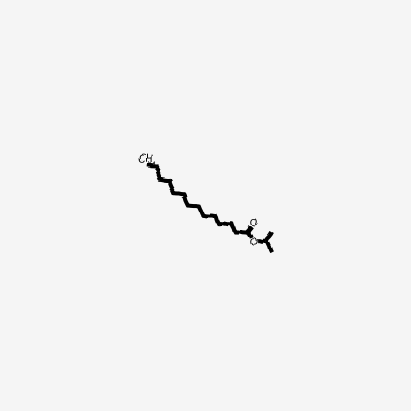 C.CCCCCCCCCCCCCC(=O)OC(C)C